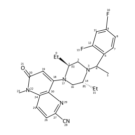 CC[C@H]1CN(C(C)c2ccc(F)cc2F)[C@H](CC)CN1c1cc(=O)n(C)c2ccc(C#N)nc12